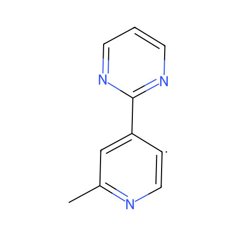 Cc1cc(-c2ncccn2)[c]cn1